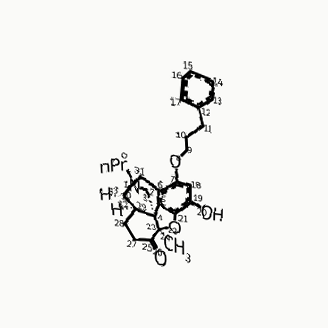 CCCN1CC[C@]23c4c5c(OCCCc6ccccc6)cc(O)c4O[C@@]2(C)C(=O)CC[C@H]3[C@H]1C5